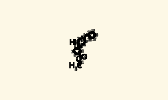 CCOC(=O)c1cccc(N2CCN(Cc3ccccc3)CC2)c1.I